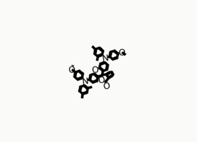 COc1ccc(N(c2ccc3c(c2)Oc2cc(N(c4ccc(OC)cc4)c4ccc(C)cc4C)ccc2C32OC(=O)c3ccccc32)c2ccc(C)cc2C)cc1